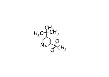 CC(C)(C)C1C=C(S(C)(=O)=O)C=NC1